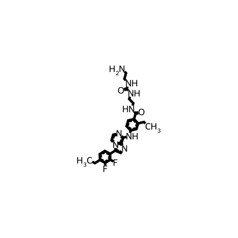 CCc1cc(Nc2nccn3c(-c4ccc(CC)c(F)c4F)cnc23)ccc1C(=O)NCCNC(=O)NCCN